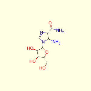 NC(=O)C1N=CN(C2O[C@H](CO)[C@@H](O)[C@H]2O)C1N